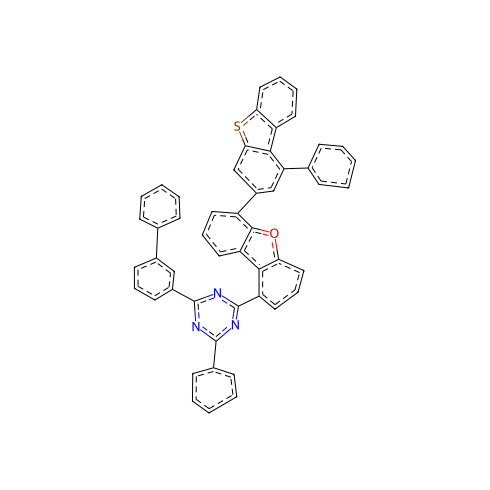 c1ccc(-c2cccc(-c3nc(-c4ccccc4)nc(-c4cccc5oc6c(-c7cc(-c8ccccc8)c8c(c7)sc7ccccc78)cccc6c45)n3)c2)cc1